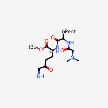 CCCCCC(NC(=O)CN(C)C)C(=O)N[C@@H](CCC(=O)C=N)C(=O)OC(C)(C)C